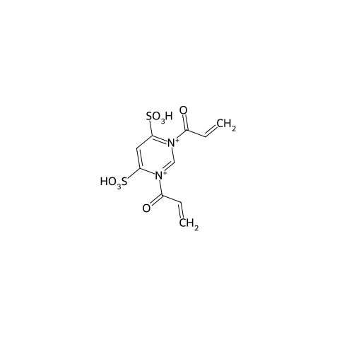 C=CC(=O)[n+]1c[n+](C(=O)C=C)c(S(=O)(=O)O)cc1S(=O)(=O)O